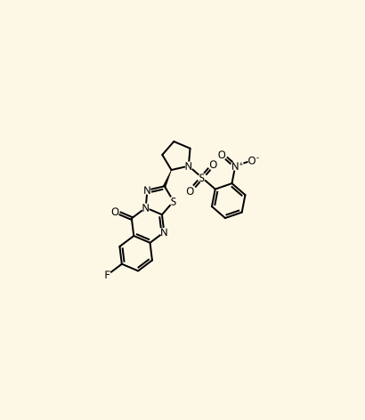 O=c1c2cc(F)ccc2nc2sc([C@H]3CCCN3S(=O)(=O)c3ccccc3[N+](=O)[O-])nn12